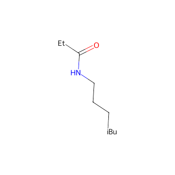 CCC(=O)NCCCC(C)CC